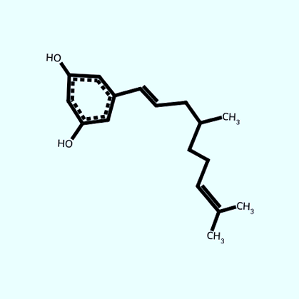 CC(C)=CCCC(C)CC=Cc1cc(O)cc(O)c1